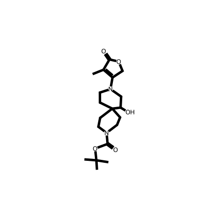 CC1=C(N2CCC3(CCN(C(=O)OC(C)(C)C)CC3)C(O)C2)COC1=O